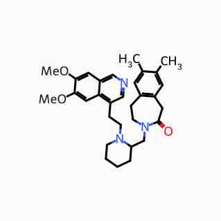 COc1cc2cncc(CCN3CCCCC3CN3CCc4cc(C)c(C)cc4CC3=O)c2cc1OC